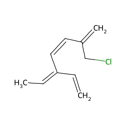 C=CC(/C=C\C(=C)CCl)=C/C